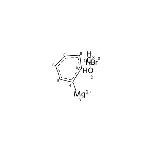 Br.CO.[Mg+2][c]1ccccc1